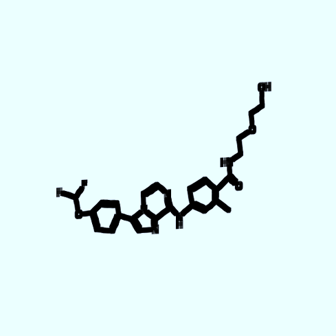 Cc1cc(Nc2nccn3c(-c4ccc(OC(F)F)cc4)cnc23)ccc1C(=O)NCCOCCO